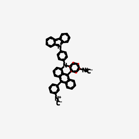 [C-]#[N+]c1cccc(-c2c3ccccc3c(-c3cccc([N+]#[C-])c3)c3c(N(c4ccccc4)c4ccc(-n5c6ccccc6c6ccccc65)cc4)cccc23)c1